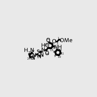 COCCOc1c(Nc2ccccc2)cc(C(=O)Nc2nnc(-n3nccc3N)s2)oc1=O